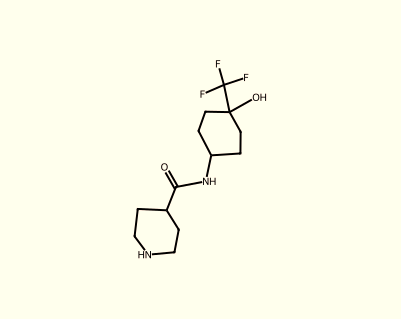 O=C(NC1CCC(O)(C(F)(F)F)CC1)C1CCNCC1